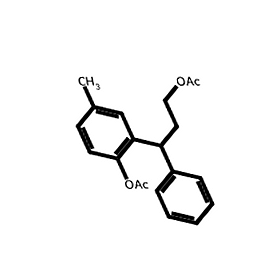 CC(=O)OCCC(c1ccccc1)c1cc(C)ccc1OC(C)=O